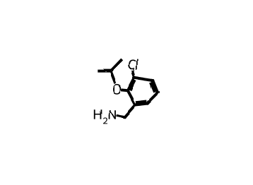 CC(C)Oc1c(Cl)cccc1CN